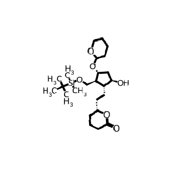 CC(C)(C)[Si](C)(C)OC[C@@H]1[C@@H](CC[C@H]2CCCC(=O)O2)[C@H](O)C[C@H]1OC1CCCCO1